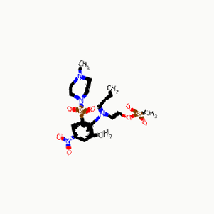 CCCN(CCOS(C)(=O)=O)c1c(C)cc([N+](=O)[O-])cc1S(=O)(=O)N1CCN(C)CC1